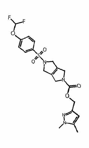 Cc1cc(COC(=O)N2CC3=C(C2)CN(S(=O)(=O)c2ccc(OC(F)F)cc2)C3)nn1C